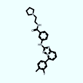 Cc1ccc(-c2cccc3nc(Nc4cccc(C(=O)NCCN5CCCC5)c4)nn23)cc1F